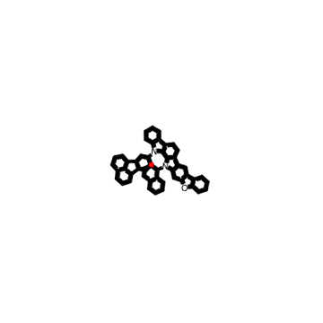 c1ccc2c(-n3c4cc5oc6ccccc6c5cc4c4ccc5c6ccccc6n(-c6ccc7c(c6)-c6cccc8cccc-7c68)c5c43)cccc2c1